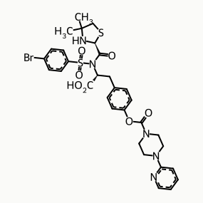 CC1(C)CS[C@@H](C(=O)N([C@@H](Cc2ccc(OC(=O)N3CCN(c4ccccn4)CC3)cc2)C(=O)O)S(=O)(=O)c2ccc(Br)cc2)N1